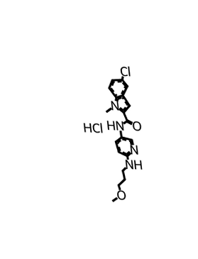 COCCCNc1ccc(NC(=O)c2cc3cc(Cl)ccc3n2C)cn1.Cl